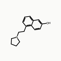 Oc1ccc2c(CCN3CCCC3)cccc2c1